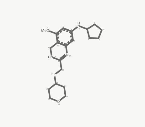 COc1cc(NC2CCCC2)cc2c1CNC(CSC1CCOCC1)=N2